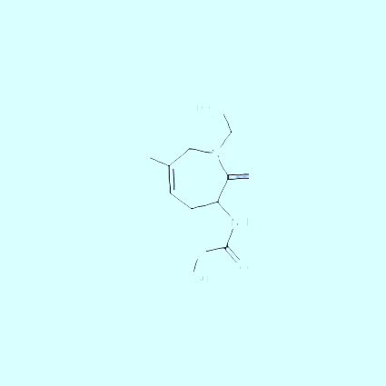 CCOC(=O)CN1CC(C)=CCC(NC(=O)OC(C)(C)C)C1=O